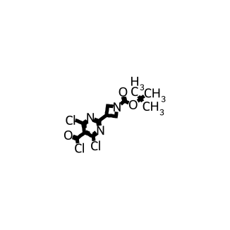 CC(C)(C)OC(=O)N1CC(c2nc(Cl)c(C(=O)Cl)c(Cl)n2)C1